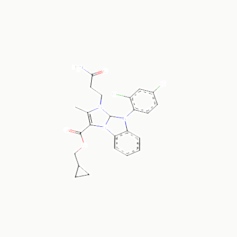 CC1=C(C(=O)OCC2CC2)N2c3ccccc3N(c3ccc(Cl)cc3Cl)C2N1CCC(N)=O